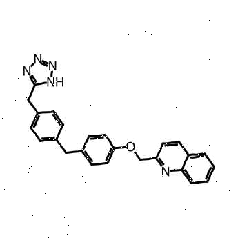 c1ccc2nc(COc3ccc(Cc4ccc(Cc5nnn[nH]5)cc4)cc3)ccc2c1